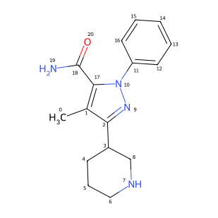 Cc1c(C2CCCNC2)nn(-c2ccccc2)c1C(N)=O